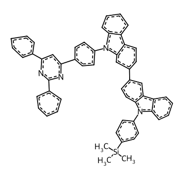 C[Si](C)(C)c1ccc(-n2c3ccccc3c3cc(-c4ccc5c6ccccc6n(-c6ccc(-c7cc(-c8ccccc8)nc(-c8ccccc8)n7)cc6)c5c4)ccc32)cc1